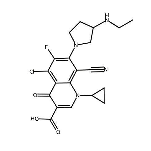 CCNC1CCN(c2c(F)c(Cl)c3c(=O)c(C(=O)O)cn(C4CC4)c3c2C#N)C1